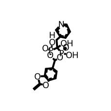 C=C1Oc2ccc(C3OP(=O)(O)C(O)(Cc4cccnc4)P(=O)(O)O3)cc2O1